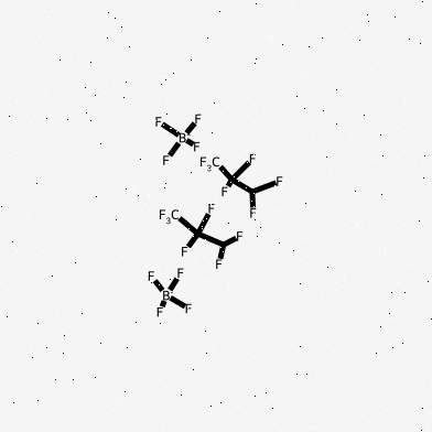 FC(F)C(F)(F)C(F)(F)F.FC(F)C(F)(F)C(F)(F)F.F[B-](F)(F)F.F[B-](F)(F)F